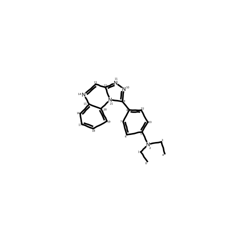 CCN(CC)c1ccc(-c2nnc3cnc4ccccc4n23)cc1